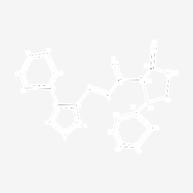 O=C(C=Cc1sccc1-c1ccccc1)N1C(=O)OCC1c1ccccc1